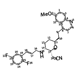 COc1ccc2nccc(CC[C@@H]3CC[C@@H](NCC=Cc4cc(F)ccc4F)[C@@H](CC#N)O3)c2c1